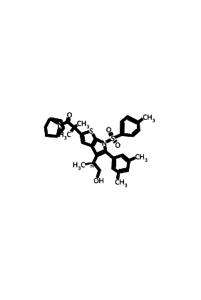 Cc1ccc(S(=O)(=O)n2c(-c3cc(C)cc(C)c3)c([C@H](C)CO)c3cc(C(C)(C)C(=O)N4C5CCC4CC5)sc32)cc1